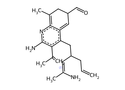 C=CCC(/C=C(/C)N)Cc1c(C(=C)C)c(N)nc2c1=CC(C=O)CC=2C